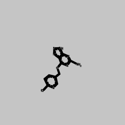 Nc1nc(OCc2ccc(Cl)nc2)c2nn[nH]c2n1